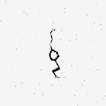 O/C=C/c1ccc(OCCO)cc1